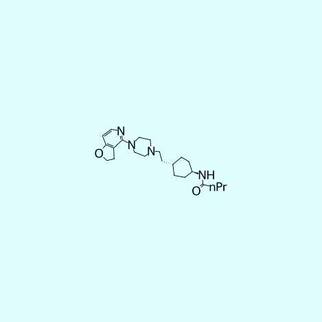 CCCC(=O)N[C@H]1CC[C@H](CCN2CCN(c3nccc4c3CCO4)CC2)CC1